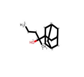 CCCC(C)(O)C12CC3CC(CC(C3)C1)C2